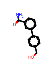 NC(=O)c1cccc(-c2ccc(CO)cc2)c1